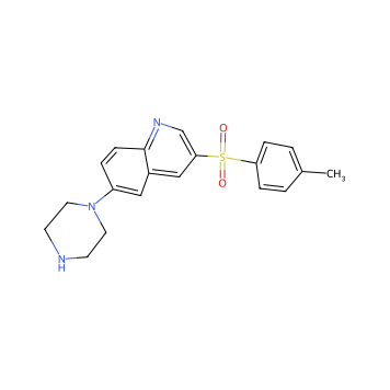 Cc1ccc(S(=O)(=O)c2cnc3ccc(N4CCNCC4)cc3c2)cc1